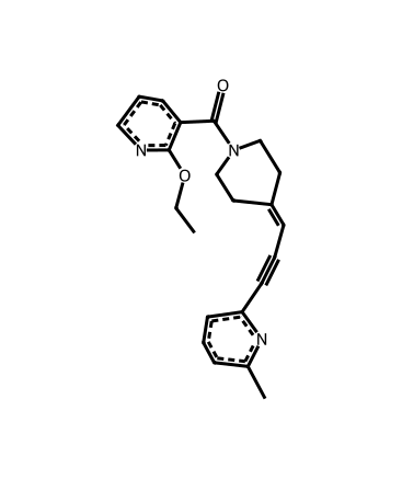 CCOc1ncccc1C(=O)N1CCC(=CC#Cc2cccc(C)n2)CC1